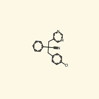 N#CC(Cc1ccc(Cl)cc1)(Cc1cncnc1)c1ccccc1